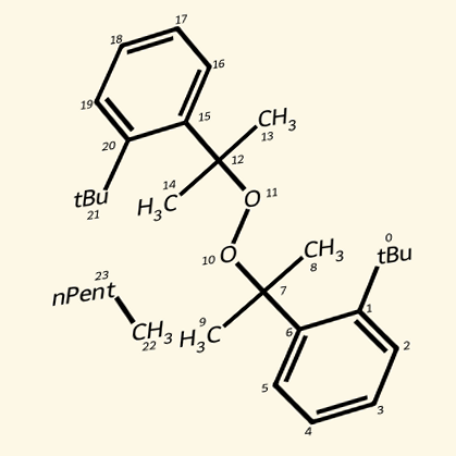 CC(C)(C)c1ccccc1C(C)(C)OOC(C)(C)c1ccccc1C(C)(C)C.CCCCCC